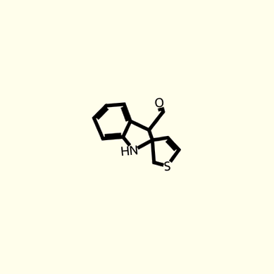 O=CC1c2ccccc2NC12C=CSC2